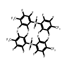 Fc1c(F)c([Te](F)(F)c2c(F)c(F)c(C(F)(F)F)c(F)c2F)c(F)c(F)c1C(F)(F)F.Fc1c(F)c([Te](F)(F)c2c(F)c(F)c(C(F)(F)F)c(F)c2F)c(F)c(F)c1C(F)(F)F